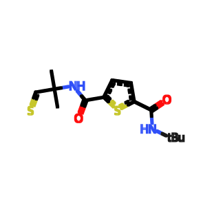 CC(C)(C)NC(=O)c1ccc(C(=O)NC(C)(C)C=S)s1